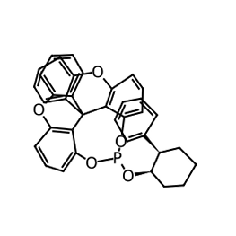 c1ccc([C@H]2CCCC[C@H]2OP2Oc3cccc4c3C3(c5ccccc5O4)c4ccccc4Oc4cccc(c43)O2)cc1